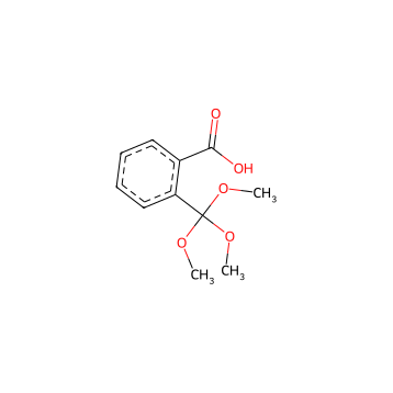 COC(OC)(OC)c1ccccc1C(=O)O